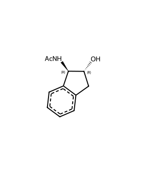 CC(=O)N[C@@H]1c2ccccc2C[C@H]1O